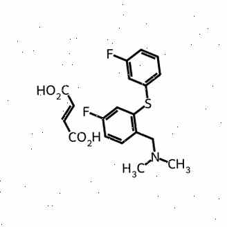 CN(C)Cc1ccc(F)cc1Sc1cccc(F)c1.O=C(O)C=CC(=O)O